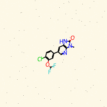 Cn1c(=O)[nH]c2cc(-c3ccc(Cl)c(OC(F)F)c3)cnc21